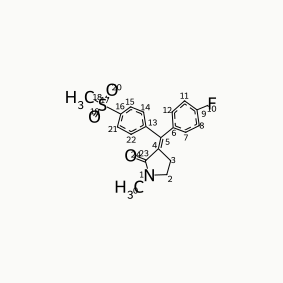 CN1CCC(=C(c2ccc(F)cc2)c2ccc(S(C)(=O)=O)cc2)C1=O